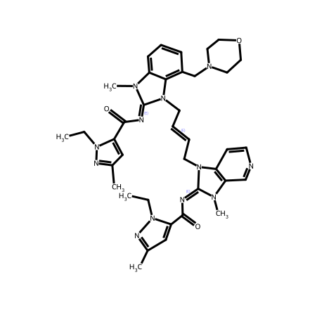 CCn1nc(C)cc1C(=O)/N=c1\n(C)c2cnccc2n1C/C=C/Cn1/c(=N/C(=O)c2cc(C)nn2CC)n(C)c2cccc(CN3CCOCC3)c21